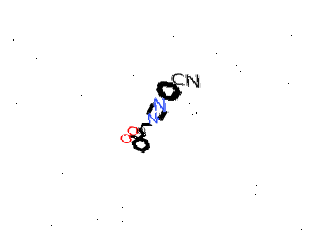 N#Cc1ccc(N2CCN(CC[C@H]3CC4(CCCCC4)C(=O)O3)CC2)cc1